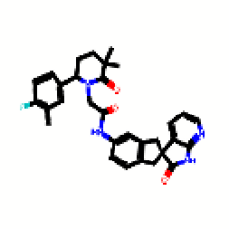 Cc1cc(C2CCC(C)(C)C(=O)N2CC(=O)Nc2ccc3c(c2)CC2(C3)C(=O)Nc3ncccc32)ccc1F